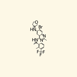 Cc1nc(N[C@H](C)c2cccc(C(F)(F)F)c2C)c2cc(N[C@H]3CCOC3)c(Br)cc2n1